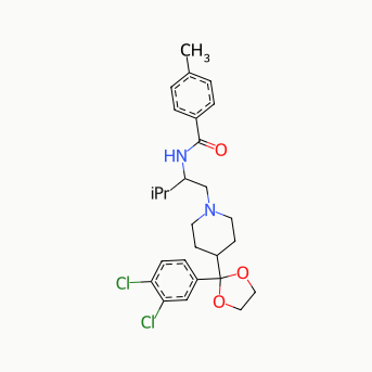 Cc1ccc(C(=O)NC(CN2CCC(C3(c4ccc(Cl)c(Cl)c4)OCCO3)CC2)C(C)C)cc1